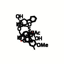 COc1c(C)cc2c(c1O)[C@H]1[C@@H]3[C@@H]4SC[C@]5(N[C@H](CO)Cc6c5oc5ccccc65)C(=O)OC[C@@H](c5c6c(c(C)c(OC(C)=O)c54)OCO6)N3C(C)(C2)CN1C